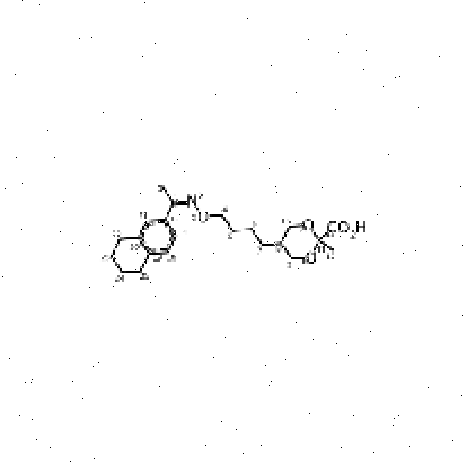 C/C(=N/OCCCCC1COC(C)(C(=O)O)OC1)c1ccc2c(c1)CCCC2